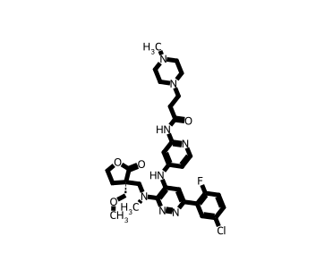 COC[C@]1(CN(C)c2nnc(-c3cc(Cl)ccc3F)cc2Nc2ccnc(NC(=O)CCN3CCN(C)CC3)c2)CCOC1=O